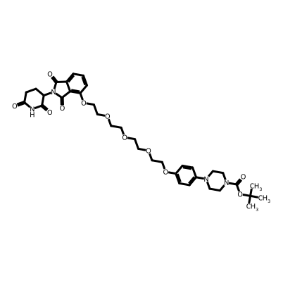 CC(C)(C)OC(=O)N1CCN(c2ccc(OCCOCCOCCOCCOc3cccc4c3C(=O)N(C3CCC(=O)NC3=O)C4=O)cc2)CC1